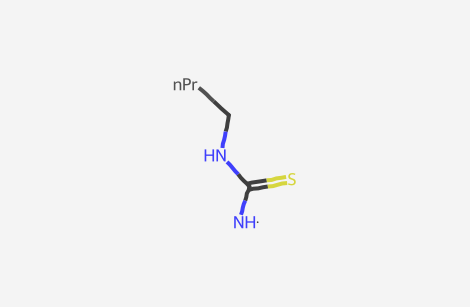 CCCCNC([NH])=S